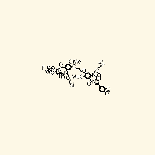 COc1cc2c(cc1OCCCOc1cc3c(cc1OC)C(=O)N1C=C(c4ccc5c(c4)OCO5)C[C@H]1C(=O)N3COCC[Si](C)(C)C)N(COCC[Si](C)(C)C)C(=O)[C@@H]1CC(OS(=O)(=O)C(F)(F)F)=CN1C2=O